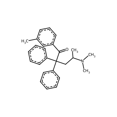 Cc1cccc(C(=O)C(CC(C)N(C)C)(c2ccccc2)c2ccccc2)c1